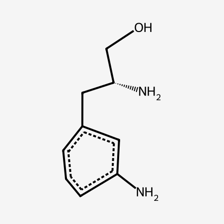 Nc1cccc(C[C@@H](N)CO)c1